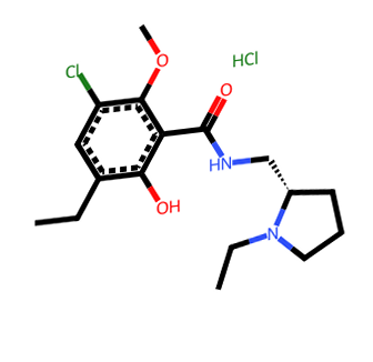 CCc1cc(Cl)c(OC)c(C(=O)NC[C@@H]2CCCN2CC)c1O.Cl